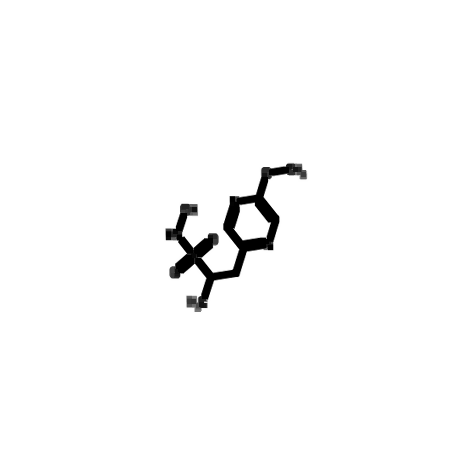 COc1cnc(CC(C)S(=O)(=O)NO)cn1